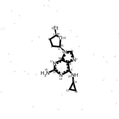 CC[C@@H]1CC[C@H](n2cnc3c(NC4CC4)nc(N)nc32)O1